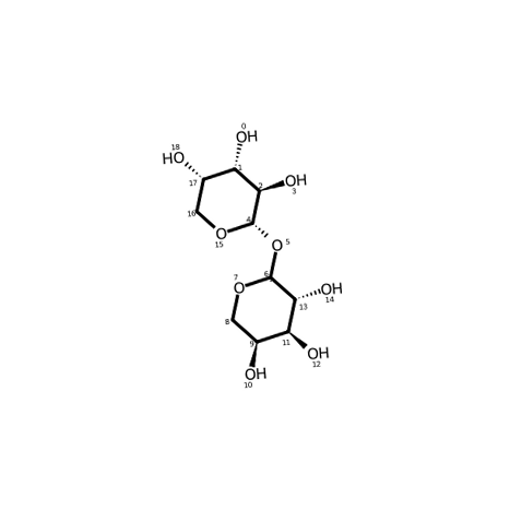 O[C@@H]1[C@@H](O)[C@H](O[C]2OC[C@H](O)[C@H](O)[C@H]2O)OC[C@@H]1O